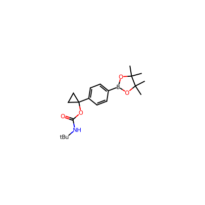 CC(C)(C)NC(=O)OC1(c2ccc(B3OC(C)(C)C(C)(C)O3)cc2)CC1